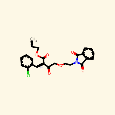 C=CCOC(=O)/C(=C\c1ccccc1Cl)C(=O)COCCN1C(=O)c2ccccc2C1=O